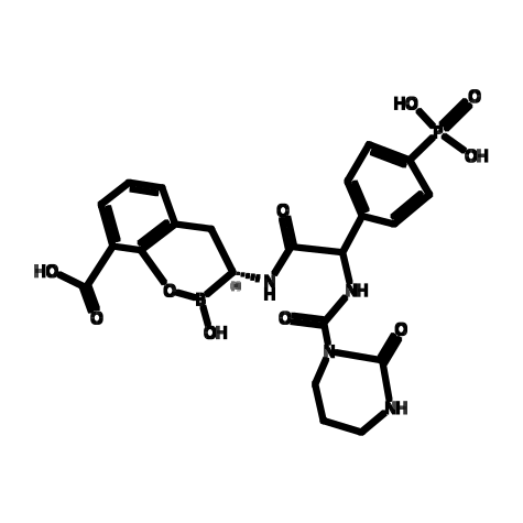 O=C(O)c1cccc2c1OB(O)[C@@H](NC(=O)C(NC(=O)N1CCCNC1=O)c1ccc(P(=O)(O)O)cc1)C2